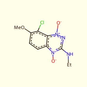 CCNc1n[n+]([O-])c2c(Cl)c(OC)ccc2[n+]1[O-]